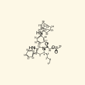 CCCC[C@H]1Cc2c([nH]c3ccccc23)[C@H](c2ccc(NC34CC5CC(CC(C5)C3)C4)cc2)N1C(=O)COC(C)=O